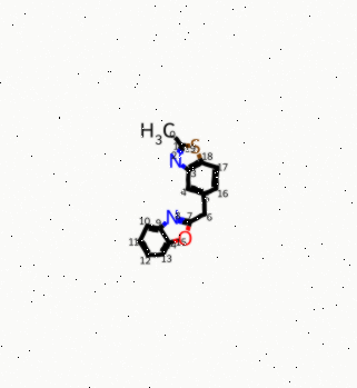 Cc1nc2cc(Cc3nc4ccccc4o3)ccc2s1